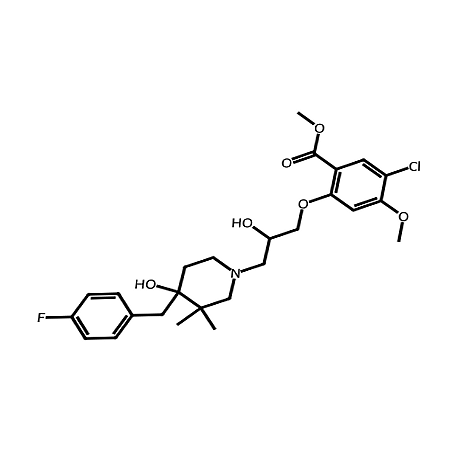 COC(=O)c1cc(Cl)c(OC)cc1OCC(O)CN1CCC(O)(Cc2ccc(F)cc2)C(C)(C)C1